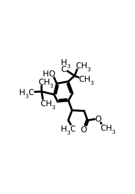 CCC(CC(=O)OC)c1cc(C(C)(C)C)c(O)c(C(C)(C)C)c1